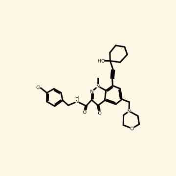 Cn1nc(C(=O)NCc2ccc(Cl)cc2)c(=O)c2cc(CN3CCOCC3)cc(C#CC3(O)CCCCC3)c21